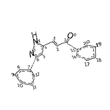 O=C(C=Cc1cc(-c2ccccc2)n[nH]1)c1ccccc1